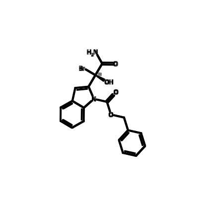 NC(=O)[C@@](O)(Br)c1cc2ccccc2n1C(=O)OCc1ccccc1